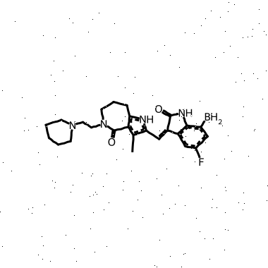 Bc1cc(F)cc2c1NC(=O)/C2=C\c1[nH]c2c(c1C)C(=O)N(CCN1CCCCC1)CCC2